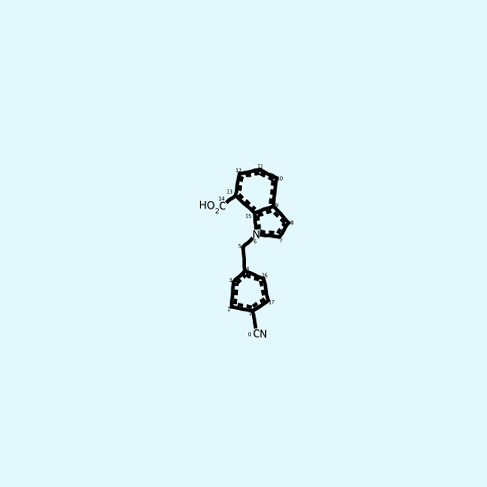 N#Cc1ccc(Cn2ccc3cccc(C(=O)O)c32)cc1